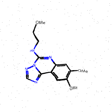 COCCNc1nc2cc(OC)c(OC)cc2c2ncnn12